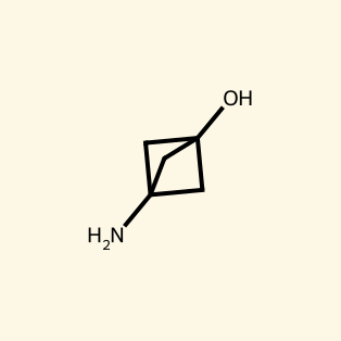 NC12CC(O)(C1)C2